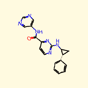 O=C(Nc1cncnc1)c1ccnc(NC2C[C@@H]2c2ccccc2)n1